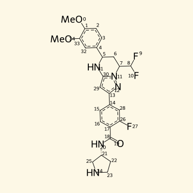 COc1ccc(C2CC(C(F)F)n3nc(-c4ccc(C(=O)N[C@@H]5CCNC5)c(F)c4)cc3N2)cc1OC